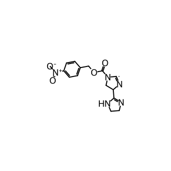 O=C(OCc1ccc([N+](=O)[O-])cc1)N1[C]=NC(C2=NCCN2)C1